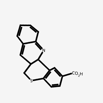 O=C(O)c1ccc2c(c1)C1N=c3ccccc3=CC1CS2